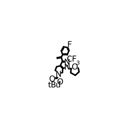 C=C(c1ccc(F)cc1C(F)(F)F)c1nn(C2CCCCO2)c2c1CCN(C(=O)OC(C)(C)C)C2